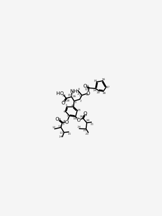 CC(CC(c1ccc(OC(=O)C(C)C(C)C)c(OC(=O)C(C)C(C)C)c1)[C@H](N)C(=O)O)OC(=O)c1ccccc1